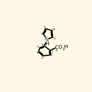 O=C(O)c1ccccc1[SH]1C=CC=C1